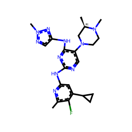 Cc1nc(Nc2ncc(N3CCN(C)[C@H](C)C3)c(Nc3cnn(C)n3)n2)cc(C2CC2)c1F